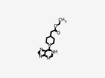 CCOC(=O)CC1CCN(c2[nH]cnc3ncnc2-3)CC1